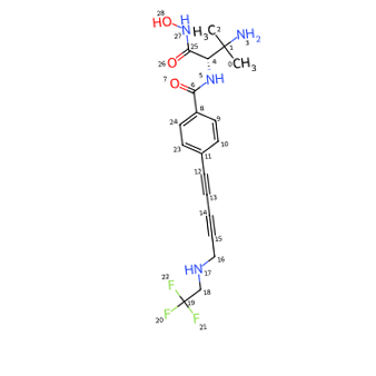 CC(C)(N)[C@H](NC(=O)c1ccc(C#CC#CCNCC(F)(F)F)cc1)C(=O)NO